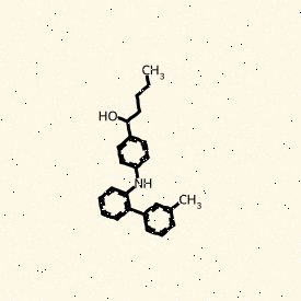 CCCCC(O)c1ccc(Nc2ccccc2-c2cccc(C)c2)cc1